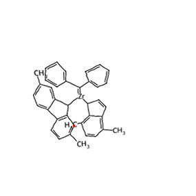 Cc1ccc2c(c1)[CH]([Zr](=[C](c1ccccc1)c1ccccc1)[CH]1C=Cc3c(C)ccc(C)c31)c1cc(C)ccc1-2